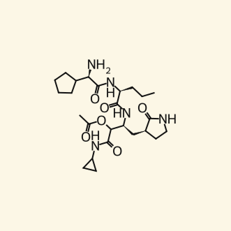 CCC[C@H](NC(=O)[C@H](N)C1CCCC1)C(=O)N[C@@H](C[C@@H]1CCNC1=O)C(OC(C)=O)C(=O)NC1CC1